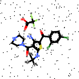 CC(C)(C)Nc1sc(C(=O)c2ccc(Cl)cc2Cl)c(N)c1C(=O)N1CCNCC1.O=C(O)C(F)(F)F